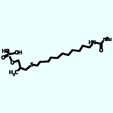 CCCCC(=O)NCCCCCCCCCCCSCC(C)COP(=O)(O)O